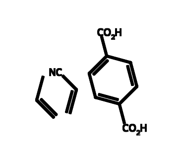 C=CC.C=CC#N.O=C(O)c1ccc(C(=O)O)cc1